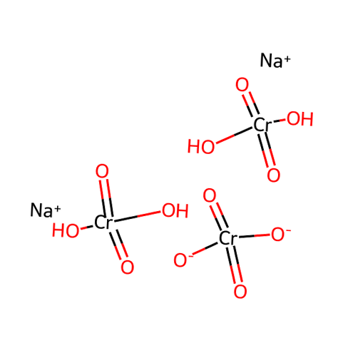 [Na+].[Na+].[O]=[Cr](=[O])([O-])[O-].[O]=[Cr](=[O])([OH])[OH].[O]=[Cr](=[O])([OH])[OH]